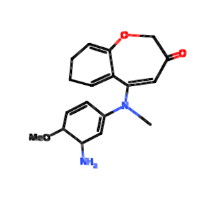 COC1C=CC(N(C)C2=CC(=O)COC3=CCCC=C32)=CC1N